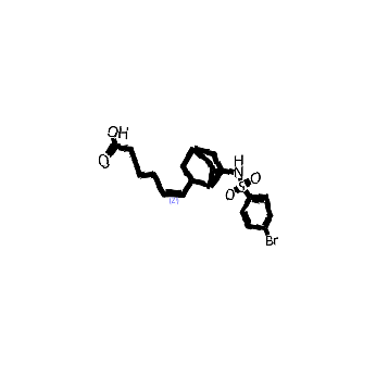 O=C(O)CCC/C=C\C1CC2CCC1C(NS(=O)(=O)c1ccc(Br)cc1)C2